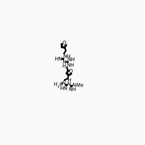 CNC(=N)NC(=N)N(C)CCc1coc(CNC(=N)NC(=N)NCCc2ccoc2)c1